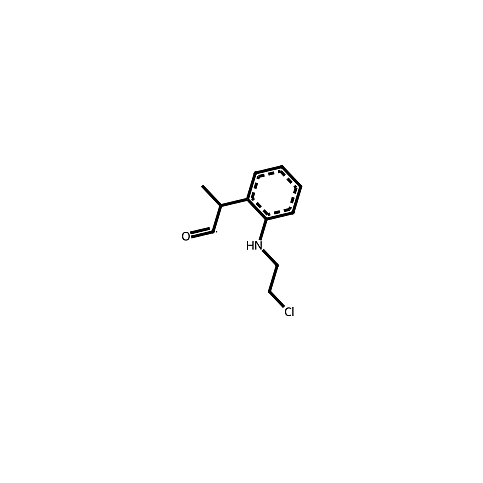 CC([C]=O)c1ccccc1NCCCl